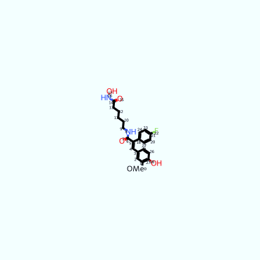 COc1cc(C=C(C(=O)NCCCCCC(=O)NO)c2ccc(F)cc2)ccc1O